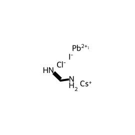 N=CN.[Cl-].[Cs+].[I-].[Pb+2]